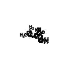 C[C@@H]1CN(Cc2cnc3c(c2)c2ncnn2c(=O)n3Cc2ccccc2SC(F)(F)F)C[C@H](C)O1